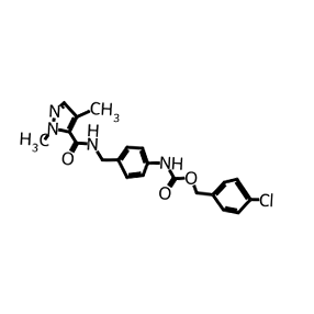 Cc1cnn(C)c1C(=O)NCc1ccc(NC(=O)OCc2ccc(Cl)cc2)cc1